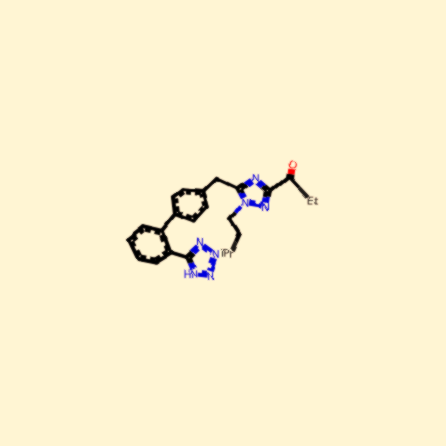 CCC(=O)c1nc(Cc2ccc(-c3ccccc3-c3nnn[nH]3)cc2)n(CCC(C)C)n1